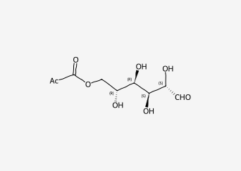 CC(=O)C(=O)OC[C@@H](O)[C@@H](O)[C@H](O)[C@H](O)C=O